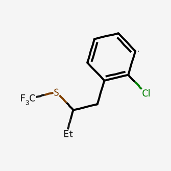 CCC(Cc1ccc[c]c1Cl)SC(F)(F)F